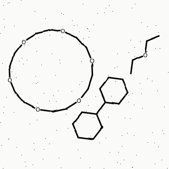 C1CCC(C2CCCCC2)CC1.C1COCCOCCOCCOCCOCCO1.CCOCC